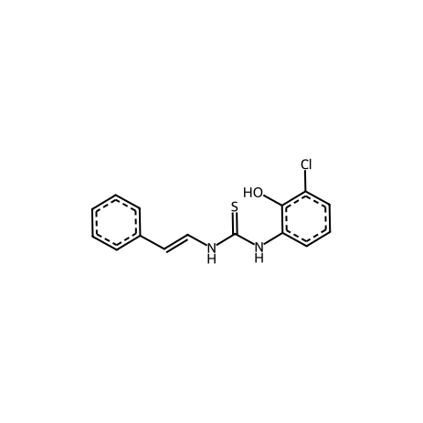 Oc1c(Cl)cccc1NC(=S)NC=Cc1ccccc1